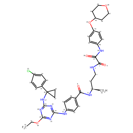 O=C(NCC[C@H](NC(=O)c1ccc(Nc2nc(NC3(c4ccc(Cl)cc4)CC3)nc(OCC(F)(F)F)n2)cc1)C(=O)O)C(=O)Nc1ccc(OC2CCOCC2)cc1